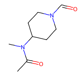 CC(=O)N(C)C1CCN(C=O)CC1